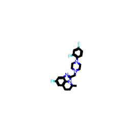 CC1CCc2cc(F)cc3nc(CN4CCN(c5ccc(F)cc5F)CC4)n1c23